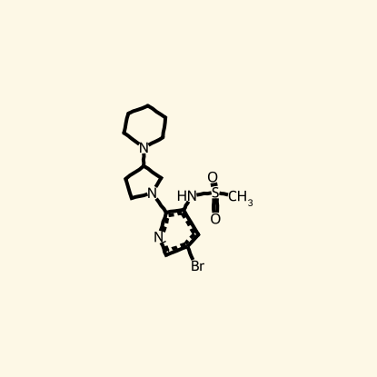 CS(=O)(=O)Nc1cc(Br)cnc1N1CCC(N2CCCCC2)C1